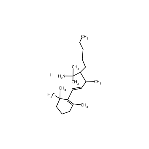 CCCCCC(C(C)C=CC1=C(C)CCCC1(C)C)C(C)(C)N.I